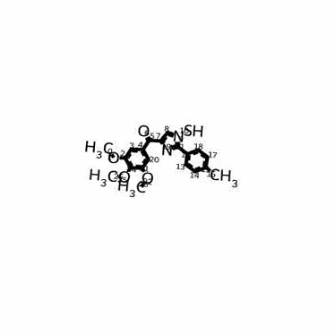 COc1cc(C(=O)c2cn(S)c(-c3ccc(C)cc3)n2)cc(OC)c1OC